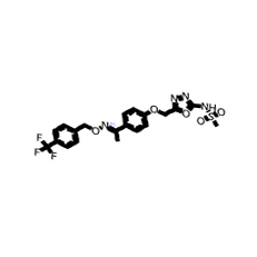 C/C(=N\OCc1ccc(C(F)(F)F)cc1)c1ccc(OCc2nnc(NS(C)(=O)=O)o2)cc1